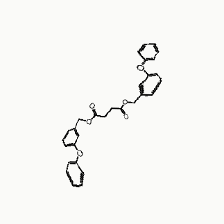 O=C(CCC(=O)OCc1cccc(Oc2ccccc2)c1)OCc1cccc(Oc2ccccc2)c1